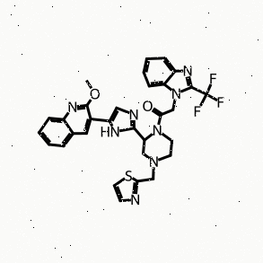 COc1nc2ccccc2cc1-c1cnc(C2CN(Cc3nccs3)CCN2C(=O)Cn2c(C(F)(F)F)nc3ccccc32)[nH]1